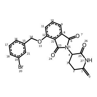 C=C1CCC(N2C(=O)c3cccc(OCc4cccc(Br)c4)c3C2=O)C(=O)N1